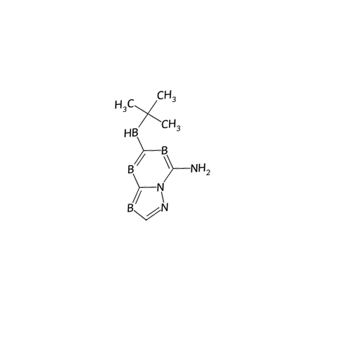 CC(C)(C)Bc1bc(N)n2ncbc2b1